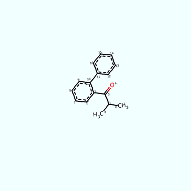 CC(C)C(=O)c1[c]cccc1-c1ccccc1